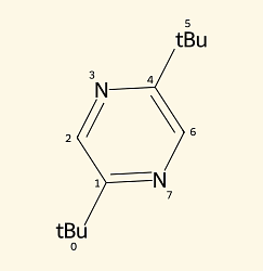 CC(C)(C)c1cnc(C(C)(C)C)cn1